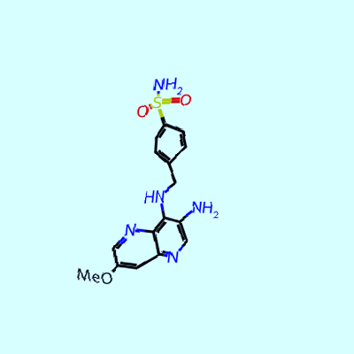 COc1cnc2c(NCc3ccc(S(N)(=O)=O)cc3)c(N)cnc2c1